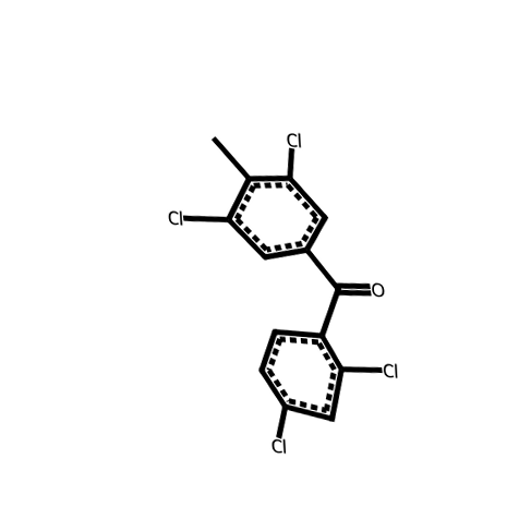 Cc1c(Cl)cc(C(=O)c2ccc(Cl)cc2Cl)cc1Cl